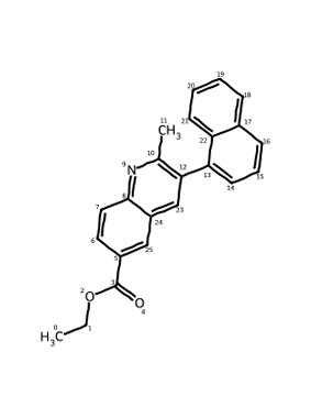 CCOC(=O)c1ccc2nc(C)c(-c3cccc4ccccc34)cc2c1